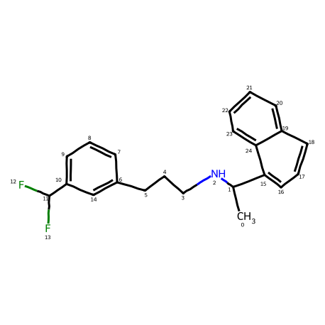 CC(NCCCc1cccc(C(F)F)c1)c1cccc2ccccc12